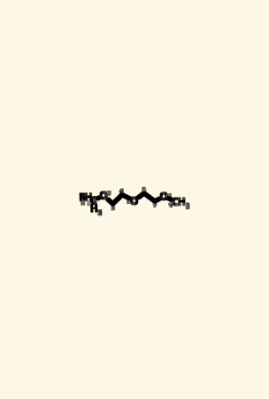 B.COCCOCCOC